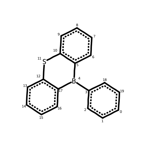 c1ccc(B2c3ccccc3Sc3ccccc32)cc1